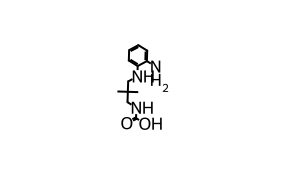 CC(C)(CNC(=O)O)CNc1ccccc1N